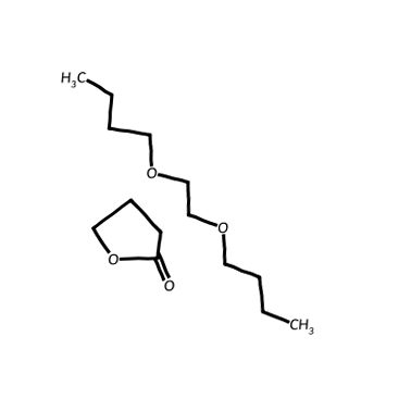 CCCCOCCOCCCC.O=C1CCCO1